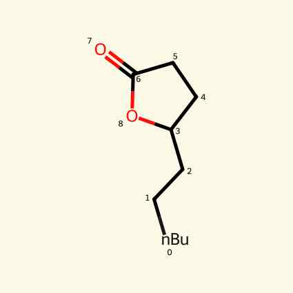 CCCCCCC1CCC(=O)O1